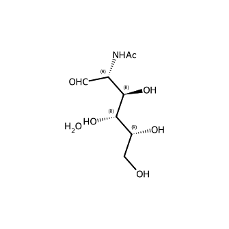 CC(=O)N[C@@H](C=O)[C@@H](O)[C@@H](O)[C@H](O)CO.O